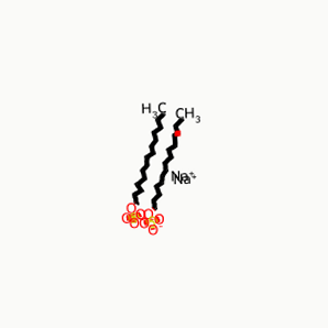 CCCCCCCCCCCCCCCCOS(=O)(=O)[O-].CCCCCCCCCCCCCCCCOS(=O)(=O)[O-].[Na+].[Na+]